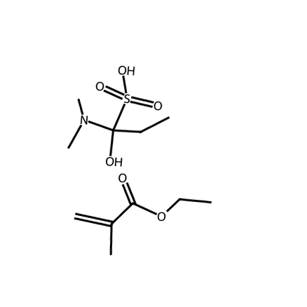 C=C(C)C(=O)OCC.CCC(O)(N(C)C)S(=O)(=O)O